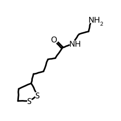 NCCNC(=O)CCCCC1CCSS1